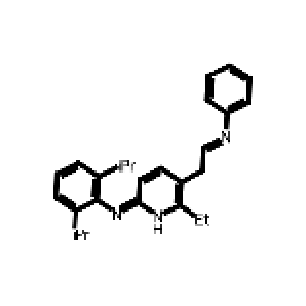 CCc1[nH]c(=Nc2c(C(C)C)cccc2C(C)C)ccc1CC=Nc1ccccc1